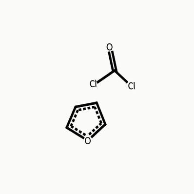 O=C(Cl)Cl.c1ccoc1